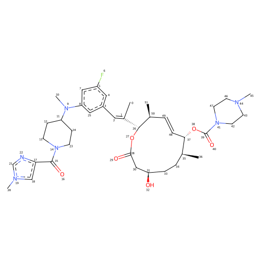 C/C(=C\c1cc(F)cc(N(C)C2CCN(C(=O)c3cn(C)cn3)CC2)c1)[C@H]1OC(=O)C[C@H](O)CC[C@H](C)[C@@H](OC(=O)N2CCN(C)CC2)/C=C/[C@@H]1C